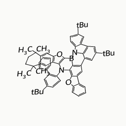 CC(C)(C)c1ccc(N2c3c(oc4cc5c(cc34)C(C)(C)CCC5(C)C)B3c4c(cc5c(oc6ccccc65)c42)-c2cc(C(C)(C)C)cc4c5cc(C(C)(C)C)ccc5n3c24)c(-c2ccccc2)c1